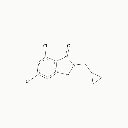 O=C1c2c(Cl)cc(Cl)cc2CN1CC1CC1